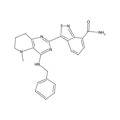 CN1CCCc2nc(-c3snc4c(C(N)=O)cccc34)nc(NCc3ccccc3)c21